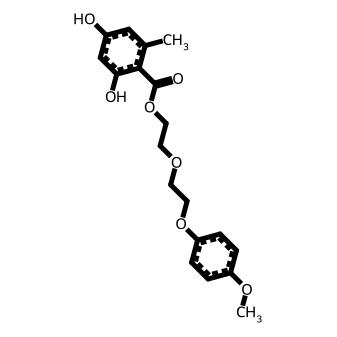 COc1ccc(OCCOCCOC(=O)c2c(C)cc(O)cc2O)cc1